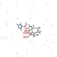 CC1=CC23C(=O)[C@@H](C=C(CO)[C@@H](O)[C@]2(O)[C@H]1OC(=O)c1c(C)cn(C)c1C)[C@H]1[C@@H](CC3C)C1(C)C